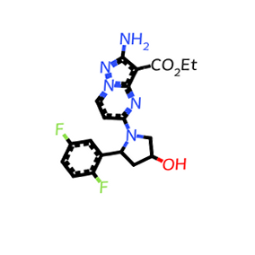 CCOC(=O)c1c(N)nn2ccc(N3CC(O)CC3c3cc(F)ccc3F)nc12